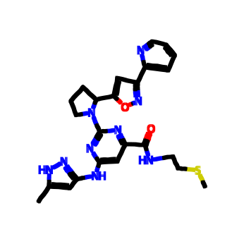 CSCCNC(=O)c1cc(Nc2cc(C)[nH]n2)nc(N2CCCC2c2cc(-c3ccccn3)no2)n1